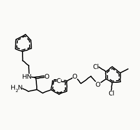 Cc1cc(Cl)c(OCCOc2ccc(CC(CN)C(=O)NCCc3ccccc3)cc2)c(Cl)c1